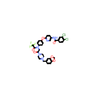 O=C(Nc1ccc(Oc2ccc(N(CC(=O)N3CCN(Cc4ccc5c(c4)OCO5)CC3)C(=O)C(F)(F)F)cc2)nc1)c1ccc(Cl)c(Cl)c1